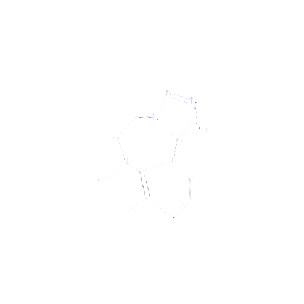 CC(C)c1cccc2c1N(C)CCn1nnnc1-2